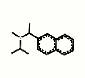 CC(C)N(C)C(C)c1ccc2ccccc2c1